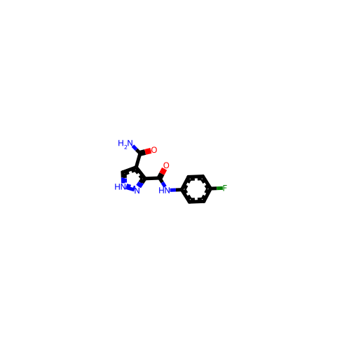 NC(=O)c1c[nH]nc1C(=O)Nc1ccc(F)cc1